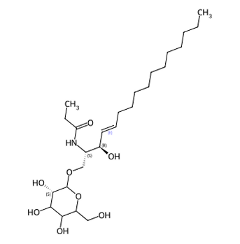 CCCCCCCCCCC/C=C/[C@@H](O)[C@H](COC1OC(CO)C(O)C(O)[C@@H]1O)NC(=O)CC